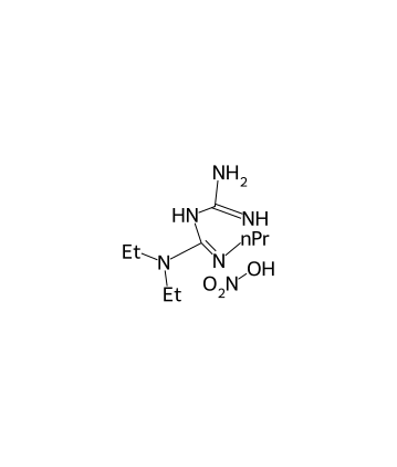 CCC/N=C(\NC(=N)N)N(CC)CC.O=[N+]([O-])O